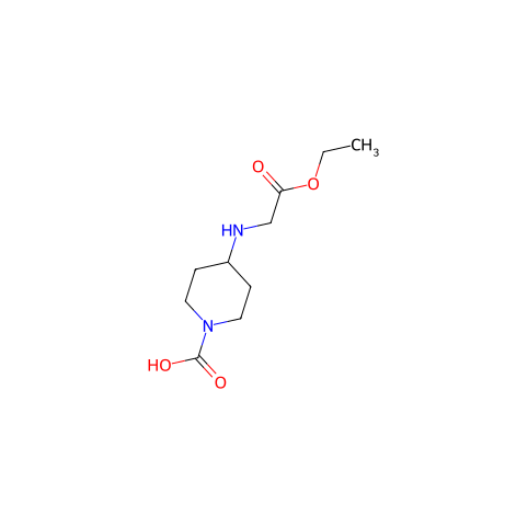 CCOC(=O)CNC1CCN(C(=O)O)CC1